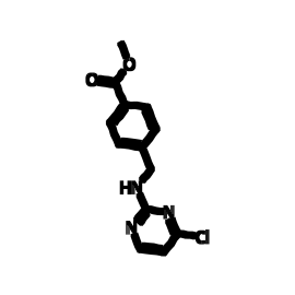 COC(=O)c1ccc(CNc2nccc(Cl)n2)cc1